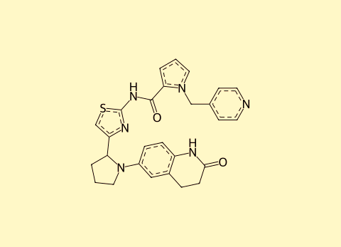 O=C1CCc2cc(N3CCCC3c3csc(NC(=O)c4cccn4Cc4ccncc4)n3)ccc2N1